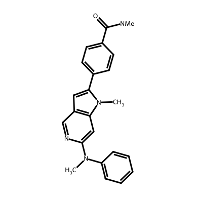 CNC(=O)c1ccc(-c2cc3cnc(N(C)c4ccccc4)cc3n2C)cc1